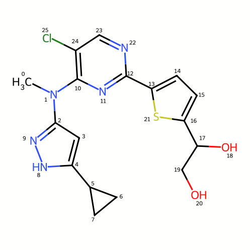 CN(c1cc(C2CC2)[nH]n1)c1nc(-c2ccc(C(O)CO)s2)ncc1Cl